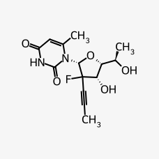 CC#CC1(F)[C@@H](O)[C@@H]([C@@H](C)O)O[C@H]1n1c(C)cc(=O)[nH]c1=O